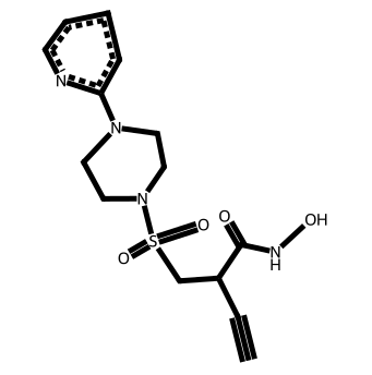 C#CC(CS(=O)(=O)N1CCN(c2ccccn2)CC1)C(=O)NO